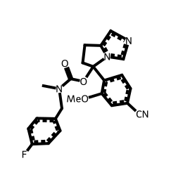 COc1cc(C#N)ccc1C1(OC(=O)N(C)Cc2ccc(F)cc2)CCc2cncn21